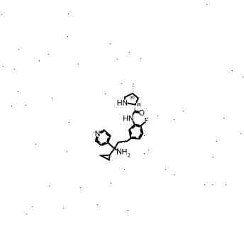 C[C@H]1CN[C@@H](C(=O)Nc2cc(CC[C@@](N)(c3ccncc3)C3CC3)ccc2F)C1